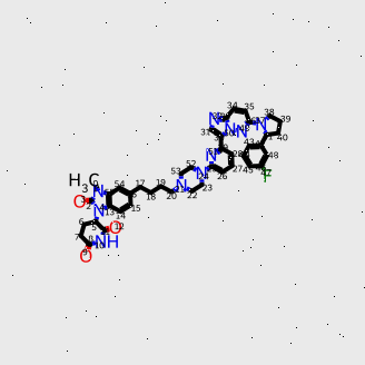 Cn1c(=O)n(C2CCC(=O)NC2=O)c2ccc(CCCCN3CCN(c4cccc(-c5cnc6ccc(N7CCCC7c7cccc(F)c7)nn56)n4)CC3)cc21